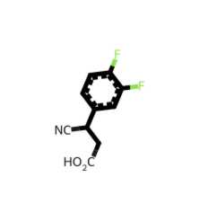 N#CC(CC(=O)O)c1ccc(F)c(F)c1